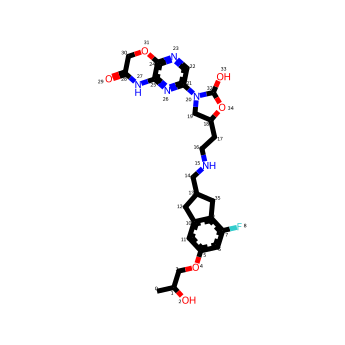 CC(O)COc1cc(F)c2c(c1)CC(CNCCC1CN(c3cnc4c(n3)NC(=O)CO4)C(O)O1)C2